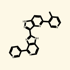 Cc1ccncc1-c1ccc2[nH]nc(-c3nc4c(-c5cccnc5)nccc4[nH]3)c2n1